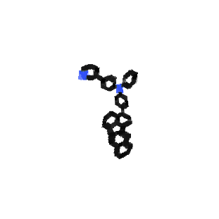 c1ccc(N(c2ccc(-c3cccnc3)cc2)c2ccc(-c3ccc4c5c(cccc35)-c3cc5ccccc5cc3-4)cc2)cc1